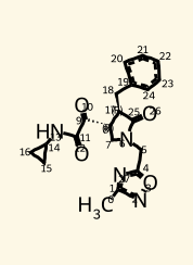 Cc1noc(CN2C[C@H](C(=O)C(=O)NC3CC3)[C@@H](Cc3ccccc3)C2=O)n1